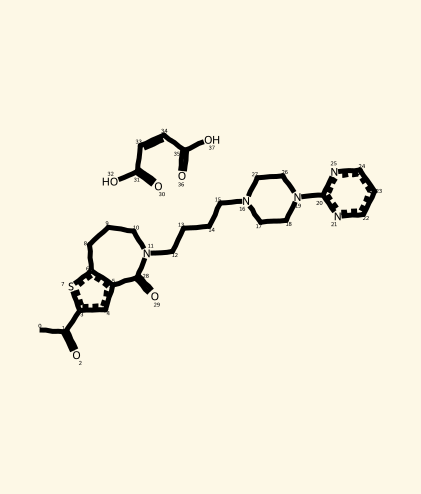 CC(=O)c1cc2c(s1)CCCN(CCCCN1CCN(c3ncccn3)CC1)C2=O.O=C(O)/C=C\C(=O)O